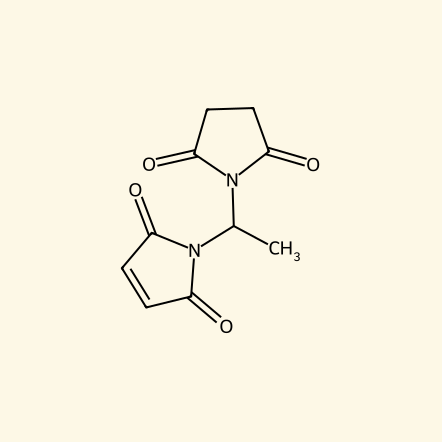 CC(N1C(=O)C=CC1=O)N1C(=O)CCC1=O